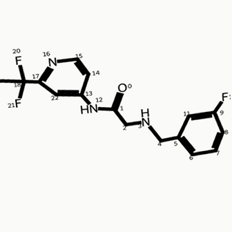 O=C(CNCc1cccc(F)c1)Nc1ccnc(C(F)(F)F)c1